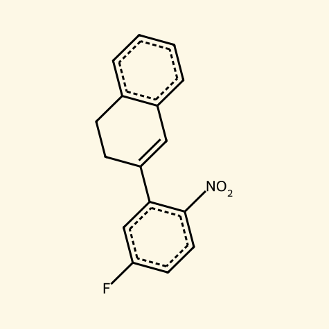 O=[N+]([O-])c1ccc(F)cc1C1=Cc2ccccc2CC1